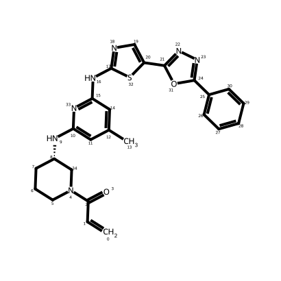 C=CC(=O)N1CCC[C@H](Nc2cc(C)cc(Nc3ncc(-c4nnc(-c5ccccc5)o4)s3)n2)C1